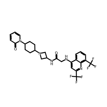 O=C(CNc1cc(C(F)(F)F)nc2c(C(F)(F)F)cccc12)NC1CN(C2CCC(n3ccccc3=O)CC2)C1